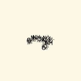 [O-][S+]1CCc2nc(N3CCC(C4CC(c5ccco5)=NN4)CC3)nc(NC3CCOCC3)c21